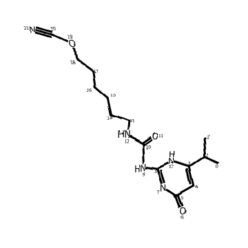 CC(C)c1cc(=O)nc(NC(=O)NCCCCCCOC#N)[nH]1